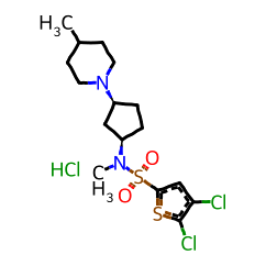 CC1CCN([C@H]2CC[C@@H](N(C)S(=O)(=O)c3cc(Cl)c(Cl)s3)C2)CC1.Cl